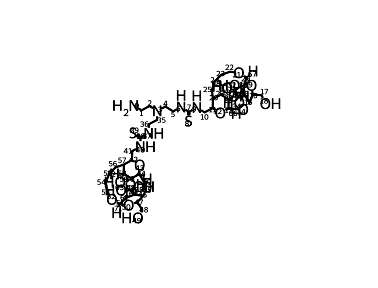 NCCN(CCNC(=S)NCC1O[C@@H]2OC3C(CO)O[C@H](OCCCCC1[C@@H](O)C2O)C(O)[C@@H]3O)CCNC(=S)NCC1O[C@@H]2OC3C(CO)O[C@H](OCCCCC1[C@@H](O)C2O)C(O)[C@@H]3O